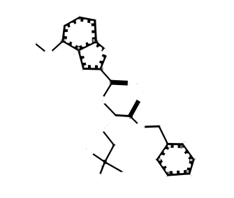 COc1cccc2[nH]c(C(=O)N[C@@H](CCC(F)(F)F)C(=O)OCc3ccccc3)cc12